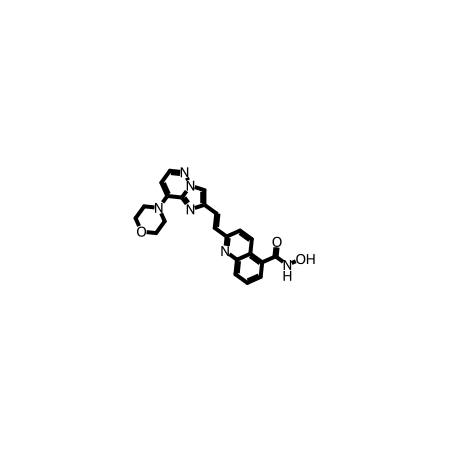 O=C(NO)c1cccc2nc(C=Cc3cn4nccc(N5CCOCC5)c4n3)ccc12